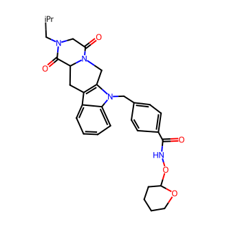 CC(C)CN1CC(=O)N2Cc3c(c4ccccc4n3Cc3ccc(C(=O)NOC4CCCCO4)cc3)CC2C1=O